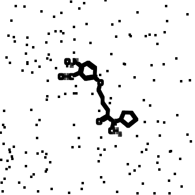 CN(C(=O)CCCCOc1ccc([N+](=O)[O-])c(C=O)c1)C1CCCC1